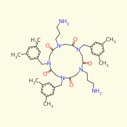 Cc1cc(C)cc(CN2CC(=O)N(CCCN)CC(=O)N(Cc3cc(C)cc(C)c3)CC(=O)N(Cc3cc(C)cc(C)c3)CC(=O)N(CCCN)CC2=O)c1